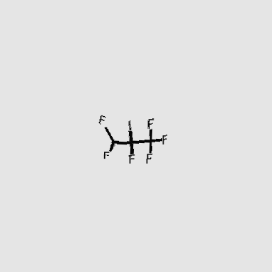 F[C](F)C(F)(I)C(F)(F)F